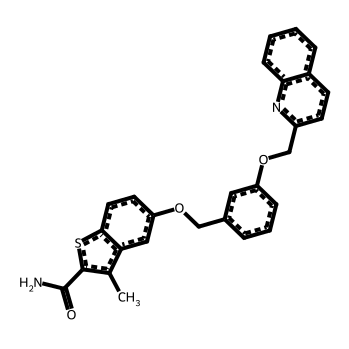 Cc1c(C(N)=O)sc2ccc(OCc3cccc(OCc4ccc5ccccc5n4)c3)cc12